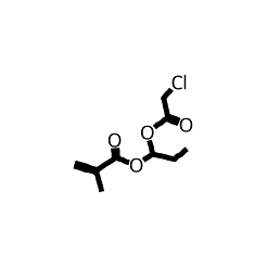 C=C(C)C(=O)OC(CC)OC(=O)CCl